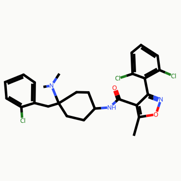 Cc1onc(-c2c(Cl)cccc2Cl)c1C(=O)NC1CCC(Cc2ccccc2Cl)(N(C)C)CC1